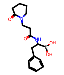 O=C(CCN1CCCCC1=O)NC(Cc1ccccc1)B(O)O